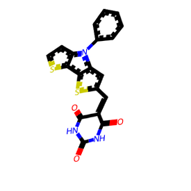 O=C1NC(=O)C(=Cc2cc3c(s2)c2sccc2n3-c2ccccc2)C(=O)N1